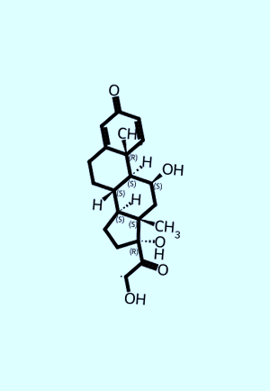 C[C@]12C=CC(=O)C=C1CC[C@@H]1[C@@H]2[C@@H](O)C[C@@]2(C)[C@H]1CC[C@]2(O)C(=O)[CH]O